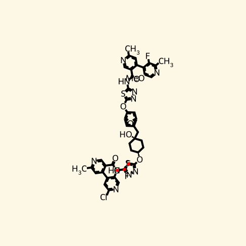 COc1cnc(C)c(F)c1-c1cc(C)ncc1C(=O)Nc1nnc(Oc2cc3oc2cc3C[C@]2(O)CC[C@@H](Oc3nnc(NC(=O)c4cnc(C)cc4-c4cc(Cl)ncc4OC(F)F)s3)CC2)s1